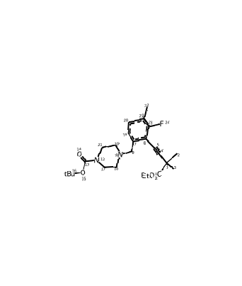 CCOC(=O)C(C)(C)C#Cc1c(CN2CCN(C(=O)OC(C)(C)C)CC2)ccc(C)c1F